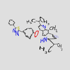 Cc1c(/C=C\C(=N)C(C)C)ccc2c(Oc3ccc(-c4nnc(-c5ccccc5)s4)cc3)cc(C(C)C)nc12